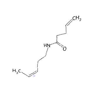 C=CCCC(=O)NCC/C=C\C